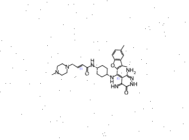 Cc1ccc2oc(/C(NC3CCC(NC(=O)/C=C/CN4CCN(C)CC4)CC3)=C3/C(=N)C(=O)NN=C3N)c(C)c2c1